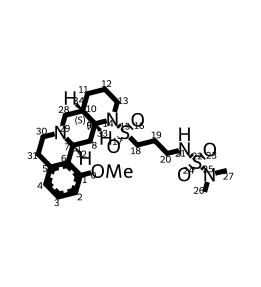 COc1cccc2c1[C@@H]1C[C@@H]3[C@@H](CCCN3S(=O)(=O)CCCNS(=O)(=O)N(C)C)CN1CC2